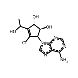 CC(O)C1=C(Cl)C(n2cnc3c(N)ncnc32)[C@H](O)[C@H]1O